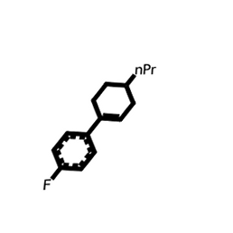 CCCC1CC=C(c2ccc(F)cc2)CC1